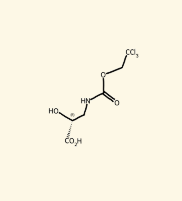 O=C(NC[C@@H](O)C(=O)O)OCC(Cl)(Cl)Cl